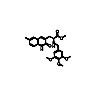 COC(=O)[C@H](Cc1cc2cc(C)ccc2[nH]c1=O)NCc1cc(OC)c(OC)c(OC)c1